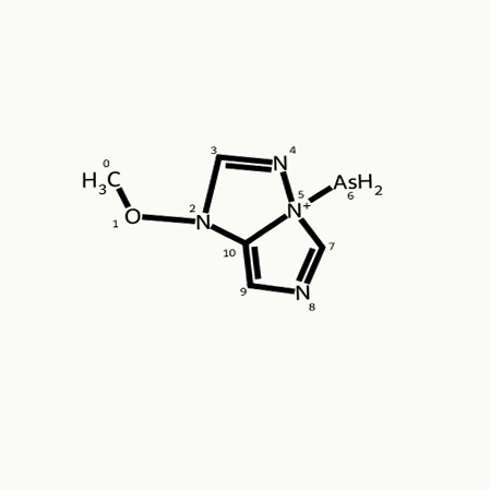 CON1C=N[N+]2([AsH2])C=NC=C12